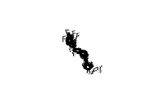 CCCC1CCC(c2ccc3cc(-c4cc(F)c5c(F)c(F)c(F)cc5c4)c(F)c(F)c3c2)CC1